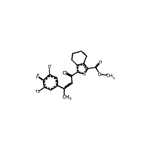 COC(=O)c1sc(C(=O)/C=C(/C)c2cc(Cl)c(F)c(Cl)c2)c2c1CCCC2